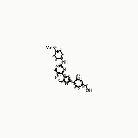 CSN1CCC(Nc2ncc(F)c(-c3sc(-c4ccc(CO)cc4C)nc3C)n2)CC1